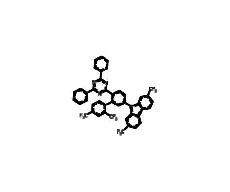 FC(F)(F)c1ccc(-c2cc(-n3c4cc(C(F)(F)F)ccc4c4ccc(C(F)(F)F)cc43)ccc2-c2nc(-c3ccccc3)nc(-c3ccccc3)n2)c(C(F)(F)F)c1